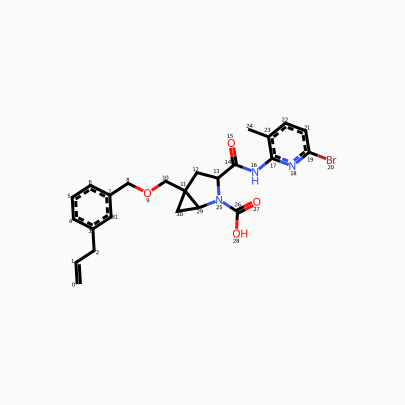 C=CCc1cccc(COCC23CC(C(=O)Nc4nc(Br)ccc4C)N(C(=O)O)C2C3)c1